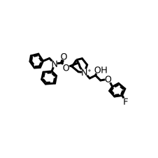 O=C(OC1C[N+]2(CC(O)COc3ccc(F)cc3)CCC1CC2)N(Cc1ccccc1)c1ccccc1